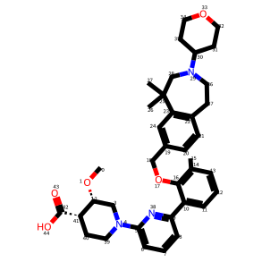 CO[C@@H]1CN(c2cccc(-c3cccc(C)c3OCc3ccc4c(c3)C(C)(C)CN(C3CCOCC3)CC4)n2)CC[C@@H]1C(=O)O